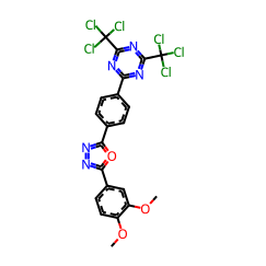 COc1ccc(-c2nnc(-c3ccc(-c4nc(C(Cl)(Cl)Cl)nc(C(Cl)(Cl)Cl)n4)cc3)o2)cc1OC